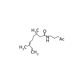 C=C/C(C)=C\CCC(C)CC(=O)NCCCC(C)=O